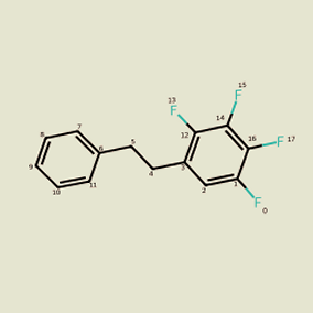 Fc1cc(CCc2ccccc2)c(F)c(F)c1F